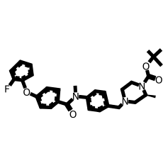 C[C@H]1CN(Cc2ccc(N(C)C(=O)c3ccc(Oc4ccccc4F)cc3)cc2)CCN1C(=O)OC(C)(C)C